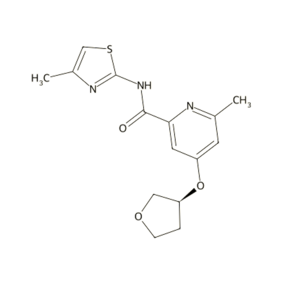 Cc1cc(O[C@H]2CCOC2)cc(C(=O)Nc2nc(C)cs2)n1